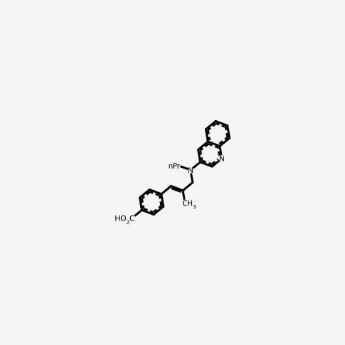 CCCN(CC(C)=Cc1ccc(C(=O)O)cc1)c1cnc2ccccc2c1